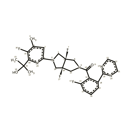 Cc1cc(N2C[C@]3(F)CN(C(=O)c4c(F)cccc4-c4ncccn4)C[C@]3(F)C2)nc(C(C)(C)O)c1F